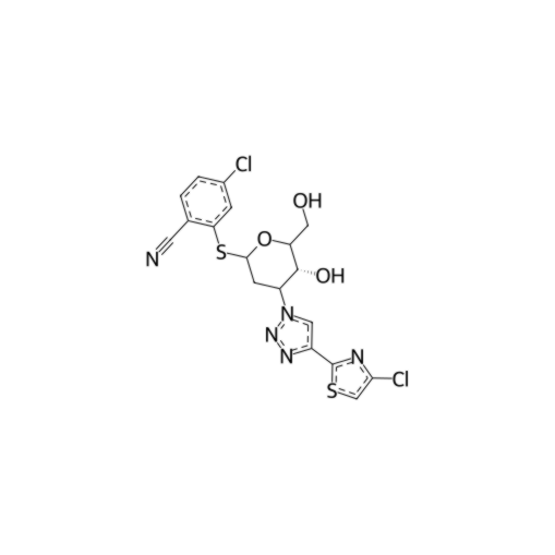 N#Cc1ccc(Cl)cc1SC1CC(n2cc(-c3nc(Cl)cs3)nn2)[C@@H](O)C(CO)O1